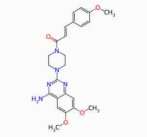 COc1ccc(C=CC(=O)N2CCN(c3nc(N)c4cc(OC)c(OC)cc4n3)CC2)cc1